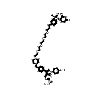 CCCCNc1ncc2c(-c3ccc(CN4CCN(CCOCCOCCOCCOCCCc5ccc6c(c5)n(C)c(=O)n6[C@H]5CCC(=O)NC5=O)CC4)cc3)cn([C@H]3CC[C@H](O)CC3)c2n1